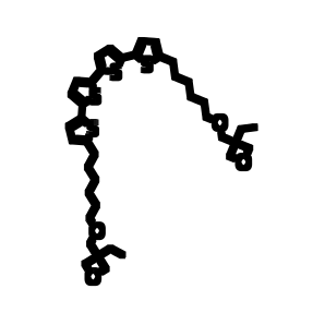 CCC1(COCCCCCCc2ccc(-c3ccc(-c4ccc(-c5ccc(CCCCCCOCC6(CC)COC6)s5)s4)s3)s2)COC1